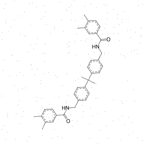 Cc1ccc(C(=O)NCc2ccc(C(C)(C)c3ccc(CNC(=O)c4ccc(C)c(C)c4)cc3)cc2)cc1C